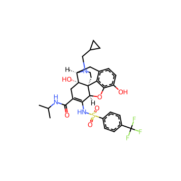 CC(C)NC(=O)C1=C(NS(=O)(=O)c2ccc(C(F)(F)F)cc2)[C@@H]2Oc3c(O)ccc4c3[C@@]23CCN(CC2CC2)[C@H](C4)[C@]3(O)C1